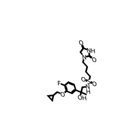 CC(O)(CNS(=O)(=O)CCCCN1CC(=O)NC1=O)c1ccc(F)c(OCC2CC2)c1